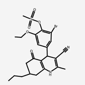 CCCC1CC(=O)C2=C(C1)NC(C)=C(C#N)C2c1cc(Br)c(OS(C)(=O)=O)c(OCC)c1